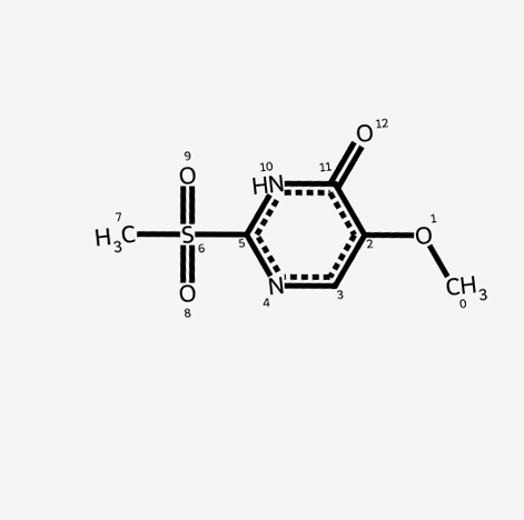 COc1cnc(S(C)(=O)=O)[nH]c1=O